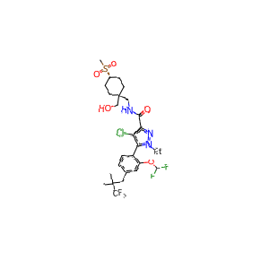 CCn1nc(C(=O)NC[C@]2(CO)CC[C@H](S(C)(=O)=O)CC2)c(Cl)c1-c1ccc(CC(C)(C)C(F)(F)F)cc1OC(F)F